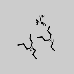 CCC[SiH](CCC)CCC.CCC[SiH](CCC)CCC.O=[PH](O)O